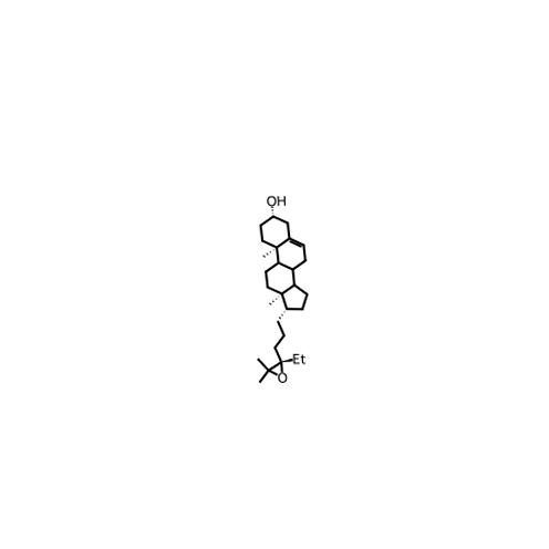 CC[C@@]1(CCC[C@H]2CCC3C4CC=C5C[C@@H](O)CC[C@]5(C)C4CC[C@@]32C)OC1(C)C